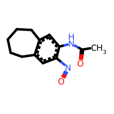 CC(=O)Nc1cc2c(cc1N=O)CCCCC2